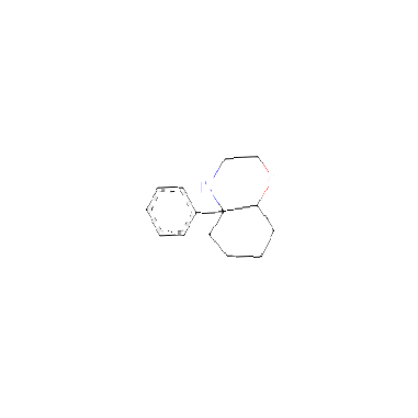 c1ccc(C23CCCCC2OCCN3)cc1